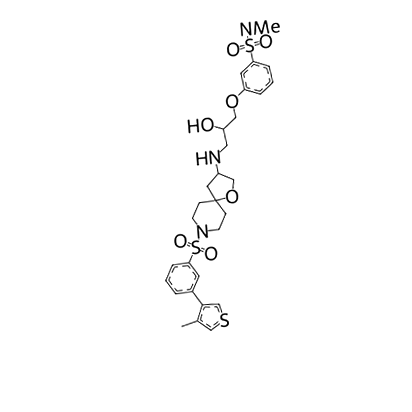 CNS(=O)(=O)c1cccc(OCC(O)CNC2COC3(CCN(S(=O)(=O)c4cccc(-c5cscc5C)c4)CC3)C2)c1